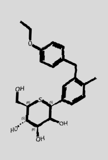 CCOc1ccc(Cc2cc([C@@H]3S[C@H](CO)[C@@H](O)[C@H](O)C3O)ccc2C)cc1